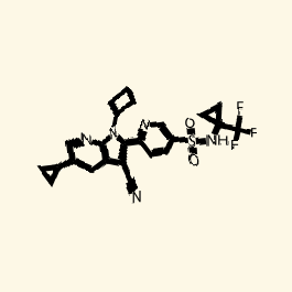 N#Cc1c(-c2ccc(S(=O)(=O)NC3(C(F)(F)F)CC3)cn2)n(C2CCC2)c2ncc(C3CC3)cc12